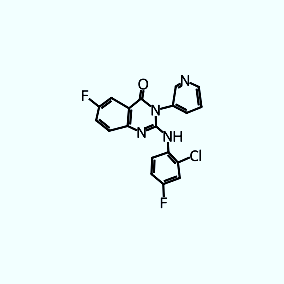 O=c1c2cc(F)ccc2nc(Nc2ccc(F)cc2Cl)n1-c1cccnc1